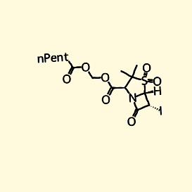 CCCCCC(=O)OCOC(=O)[C@@H]1N2C(=O)[C@@H](I)[C@H]2S(=O)(=O)C1(C)C